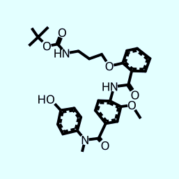 COc1cc(C(=O)N(C)c2ccc(O)cc2)ccc1NC(=O)c1ccccc1OCCCNC(=O)OC(C)(C)C